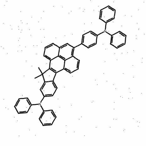 CC1(C)c2cc(N(c3ccccc3)c3ccccc3)ccc2-c2c1c1cccc3cc(-c4ccc(N(c5ccccc5)c5ccccc5)cc4)c4cccc2c4c31